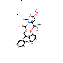 CCN(C(=O)OCC1c2ccccc2-c2ccccc21)C(CC(=O)OC)C(=O)N(C)C